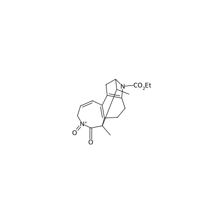 CCOC(=O)N1C2=C3CC1C(C)C1(C)C(=O)[N+](=O)C/C=C\C3=C1CC2